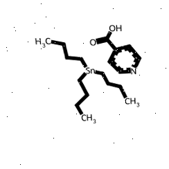 CCC[CH2][Sn]([CH2]CCC)[CH2]CCC.O=C(O)c1ccncc1